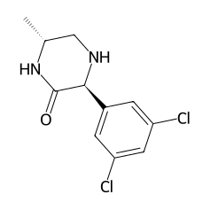 C[C@@H]1CN[C@@H](c2cc(Cl)cc(Cl)c2)C(=O)N1